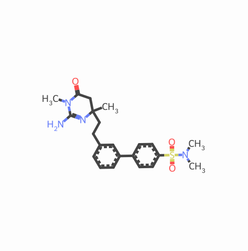 CN1C(=O)CC(C)(CCc2cccc(-c3ccc(S(=O)(=O)N(C)C)cc3)c2)N=C1N